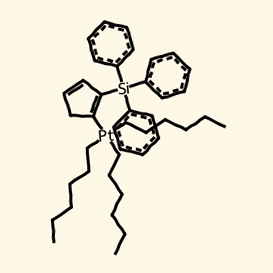 CCCCC[CH2][Pt]([CH2]CCCCC)([CH2]CCCCC)[C]1=C([Si](c2ccccc2)(c2ccccc2)c2ccccc2)C=CC1